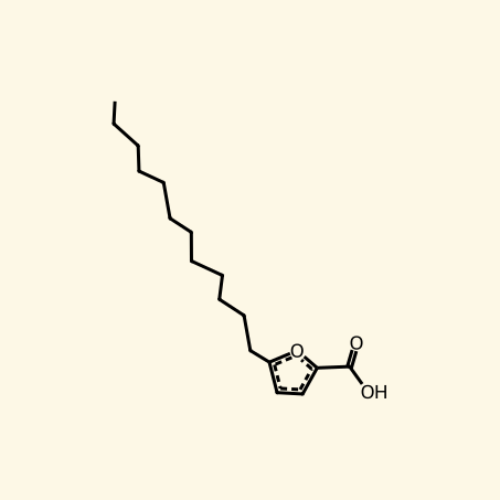 CCCCCCCCCCCCc1ccc(C(=O)O)o1